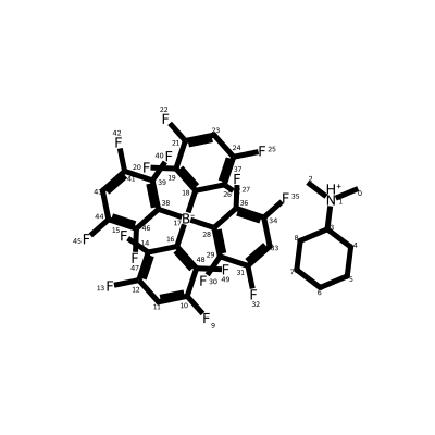 C[NH+](C)C1CCCCC1.Fc1cc(F)c(F)c([B-](c2c(F)c(F)cc(F)c2F)(c2c(F)c(F)cc(F)c2F)c2c(F)c(F)cc(F)c2F)c1F